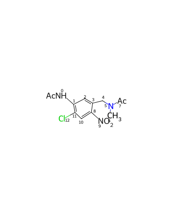 CC(=O)Nc1cc(CN(C)C(C)=O)c([N+](=O)[O-])cc1Cl